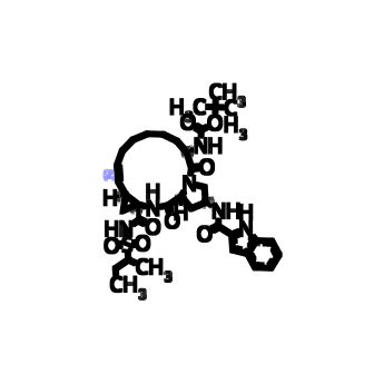 CCC(C)S(=O)(=O)NC(=O)[C@@]12C[C@H]1/C=C\CCCCC[C@H](NC(=O)OC(C)(C)C)C(=O)N1C[C@H](NC(=O)c3cc4ccccc4[nH]3)C[C@H]1C(=O)N2